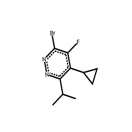 CC(C)c1nnc(Br)c(F)c1C1CC1